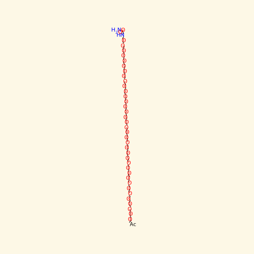 CC(=O)CCOCCOCCOCCOCCOCCOCCOCCOCCOCCOCCOCCOCCOCCOCCOCCOCCOCCOCCOCCOCCOCCOCCOCCOCCOCCOCCOCCOCCOCCOCCOCCOCCOCCOCCOCCOCCNCC(=O)ON